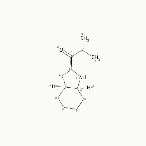 CC(C)C(=O)[C@@H]1C[C@@H]2CCCC[C@@H]2N1